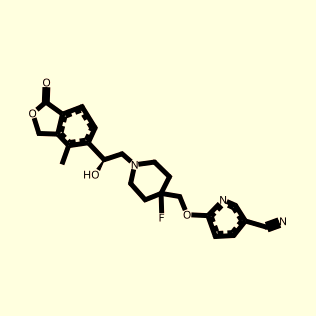 Cc1c([C@H](O)CN2CCC(F)(COc3ccc(C#N)cn3)CC2)ccc2c1COC2=O